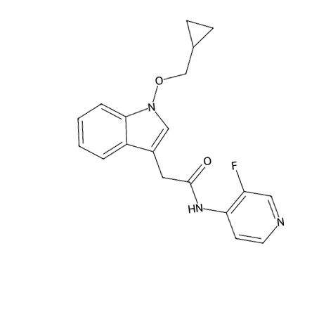 O=C(Cc1cn(OCC2CC2)c2ccccc12)Nc1ccncc1F